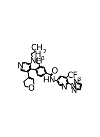 C=CCNc1cncc(C2=CCOCC2)c1-c1ccc(C(=O)Nc2cnc(-n3nccn3)c(C(F)(F)F)c2)cc1C